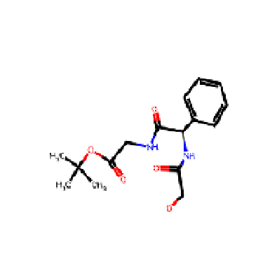 CC(C)(C)OC(=O)CNC(=O)[C@H](NC(=O)C[O])c1ccccc1